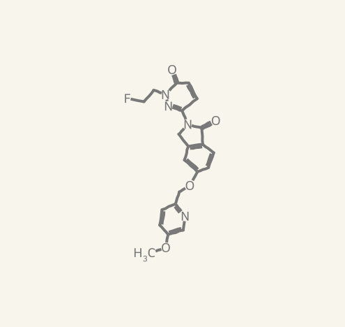 COc1ccc(COc2ccc3c(c2)CN(c2ccc(=O)n(CCF)n2)C3=O)nc1